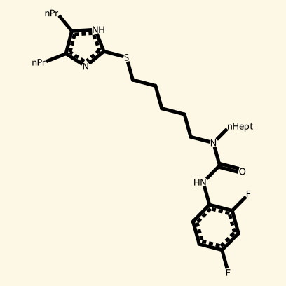 CCCCCCCN(CCCCCSc1nc(CCC)c(CCC)[nH]1)C(=O)Nc1ccc(F)cc1F